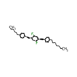 CCCCCCCc1ccc(C#Cc2cc(F)c(C#Cc3ccc(CCCCCC)cc3)cc2F)cc1